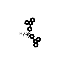 Cc1nc2cc(-c3cc4ccccc4c4ccccc34)ccc2n1-c1ccc(-c2cc3ccccc3c3ccccc23)cc1